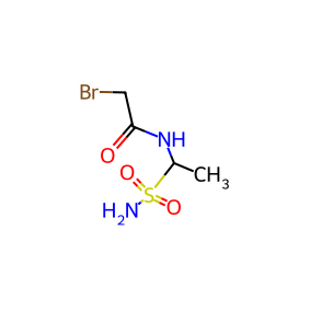 CC(NC(=O)CBr)S(N)(=O)=O